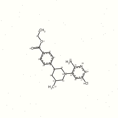 CCOC(=O)c1ccc(C2CC(C)CN(c3cc(Cl)nnc3N)C2)cc1